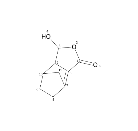 O=C1OC(O)C2C1=C1CCC2C1